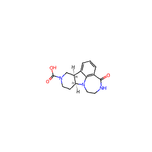 O=C1NCCN2c3c1cccc3[C@@H]1CN(C(=O)O)CC[C@@H]12